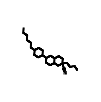 CCCCCCC1CCC(C2CCC3CC(C#N)(CCCC)CCC3C2)CC1